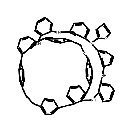 c1cc2cc(c1)N(c1ccco1)c1cccc(c1)Nc1ccccc1Nc1c3cccc1-c1ccc(cc1)CCc1ccc(cc1)-c1cccc(c1Nc1ccccc1N2)-c1ccc(cc1)CCc1ccc-3cc1